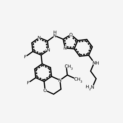 CC(C)N1CCOc2c(F)cc(-c3nc(Nc4nc5cc(NCCN)ccc5o4)ncc3F)cc21